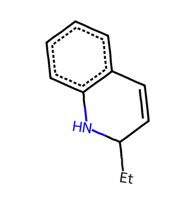 [CH2]CC1C=Cc2ccccc2N1